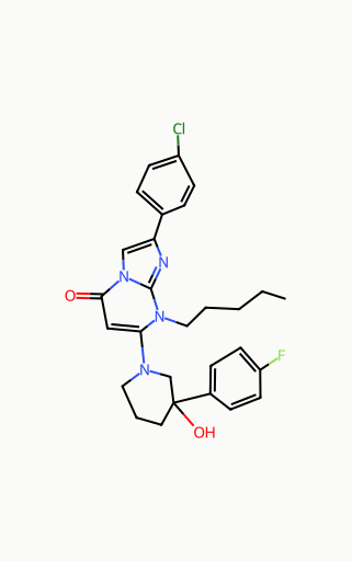 CCCCCn1c(N2CCCC(O)(c3ccc(F)cc3)C2)cc(=O)n2cc(-c3ccc(Cl)cc3)nc12